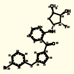 [CH2][C@@H]1C[C@@H](Nc2ncncc2C(=O)c2ccn(Cc3cccc(Br)c3)c2)[C@@H](F)[C@@H]1O